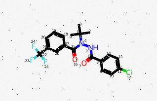 CC(C)(C)N(NC(=O)c1ccc(Cl)cc1)C(=O)c1cccc(C(F)(F)F)c1